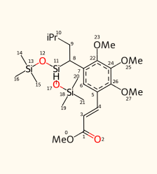 COC(=O)C=Cc1cc(C(CC(C)C)[SiH](O[Si](C)(C)C)O[Si](C)(C)C)c(OC)c(OC)c1OC